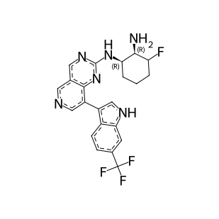 N[C@H]1C(F)CCC[C@H]1Nc1ncc2cncc(-c3c[nH]c4cc(C(F)(F)F)ccc34)c2n1